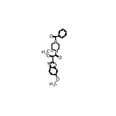 COc1ccc2nc(C(=O)C(=O)N3CCN(C(=O)c4ccccc4)C[C@H]3C)sc2c1